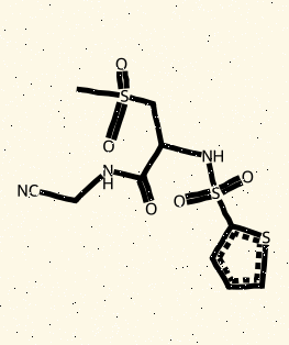 CS(=O)(=O)CC(NS(=O)(=O)c1cccs1)C(=O)NCC#N